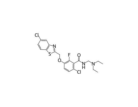 CCN(CC)CNC(=O)c1c(Cl)ccc(OCc2nc3cc(Cl)ccc3s2)c1F